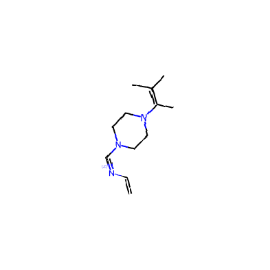 C=C/N=C\N1CCN(C(C)=C(C)C)CC1